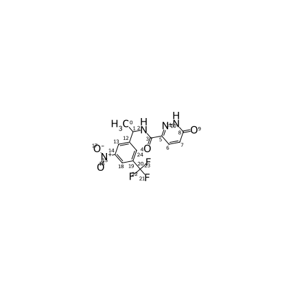 CC(NC(=O)c1ccc(=O)[nH]n1)c1cc([N+](=O)[O-])cc(C(F)(F)F)c1